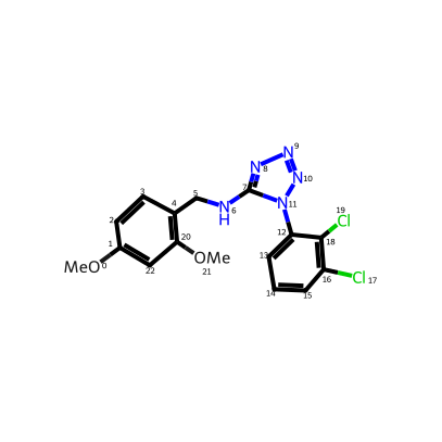 COc1ccc(CNc2nnnn2-c2cccc(Cl)c2Cl)c(OC)c1